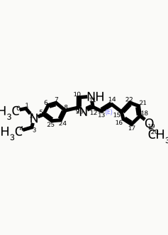 CCN(CC)c1ccc(-c2c[nH]c(/C=C/c3ccc(OC)cc3)n2)cc1